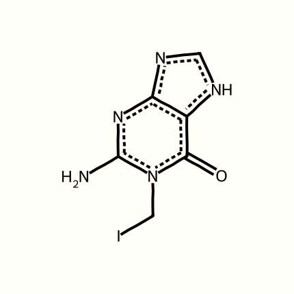 Nc1nc2nc[nH]c2c(=O)n1CI